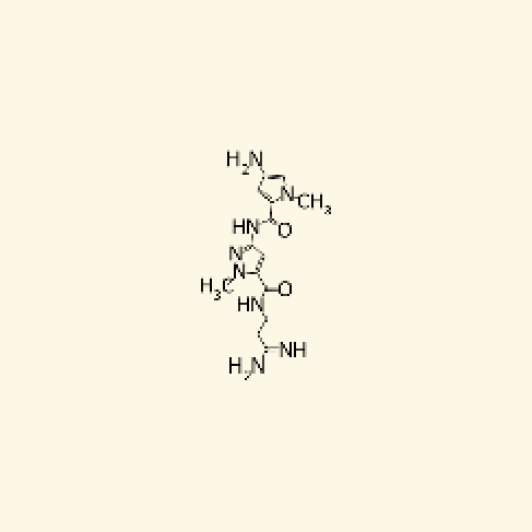 Cn1cc(N)cc1C(=O)Nc1cc(C(=O)NCCC(=N)N)n(C)n1